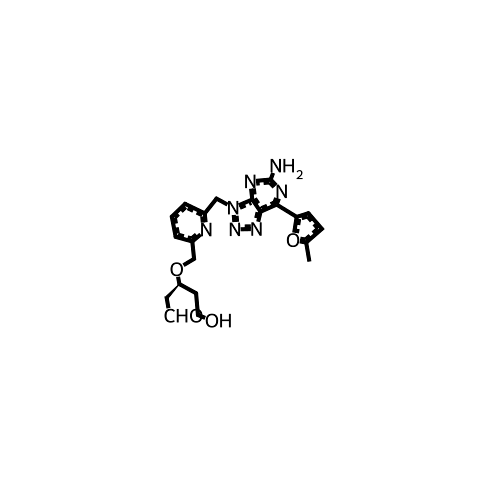 Cc1ccc(-c2nc(N)nc3c2nnn3Cc2cccc(CO[C@H](CC=O)CCO)n2)o1